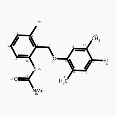 CCc1cc(C)c(OCc2c(I)cccc2SC(=O)NC)cc1C